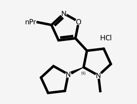 CCCc1cc(C2CCN(C)[C@H]2N2CCCC2)on1.Cl